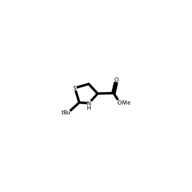 COC(=O)C1CSC(C(C)(C)C)N1